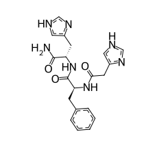 NC(=O)[C@H](Cc1c[nH]cn1)NC(=O)[C@H](Cc1ccccc1)NC(=O)Cc1c[nH]cn1